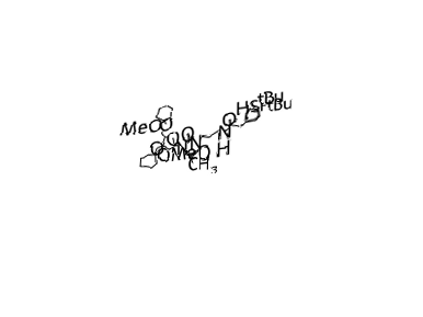 COC1(OCC2OC(n3cc(C)c(=O)n(CCCNC(=O)Cc4ccc([SiH](C(C)(C)C)C(C)(C)C)cc4)c3=O)CC2OC2(OC)CCCCC2)CCCCC1